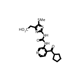 CSc1sc(NC(=O)Nc2cnccc2C(=O)C2CCCC2)nc1CC(=O)O